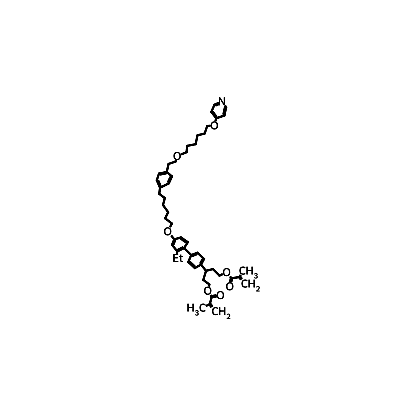 C=C(C)C(=O)OCCC(CCOC(=O)C(=C)C)c1ccc(-c2ccc(OCCCCCCc3ccc(CCOCCCCCCOc4ccncc4)cc3)cc2CC)cc1